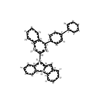 c1ccc(-c2ccc(-c3nc(-n4c5ccccc5n5c6ccccc6cc45)nc4ccccc34)cc2)cc1